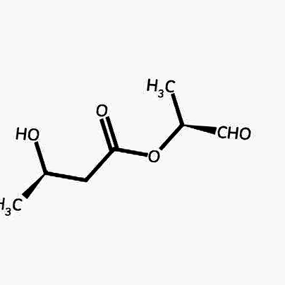 C[C@@H](O)CC(=O)O[C@@H](C)C=O